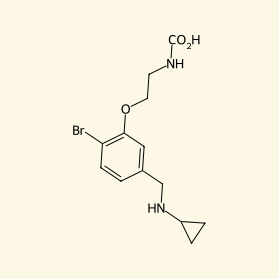 O=C(O)NCCOc1cc(CNC2CC2)ccc1Br